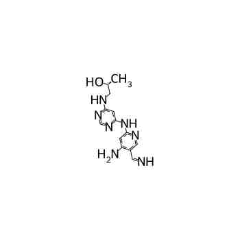 C[C@H](O)CNc1cc(Nc2cc(N)c(C=N)cn2)ncn1